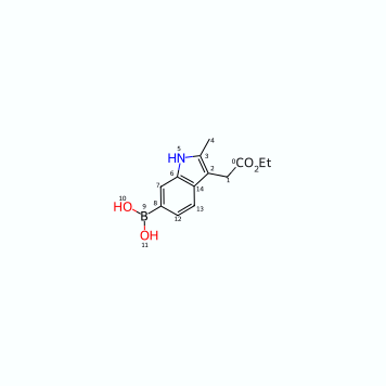 CCOC(=O)Cc1c(C)[nH]c2cc(B(O)O)ccc12